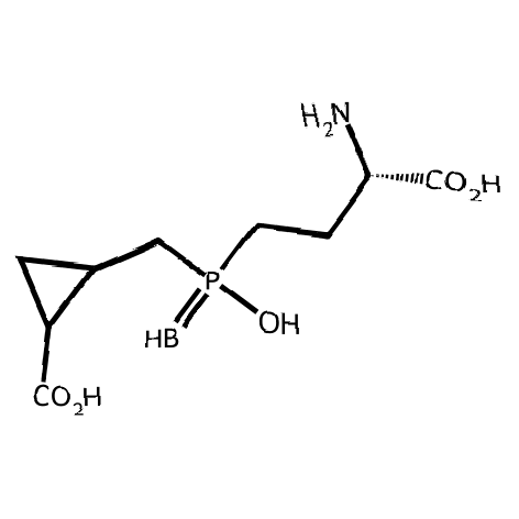 B=P(O)(CC[C@H](N)C(=O)O)CC1CC1C(=O)O